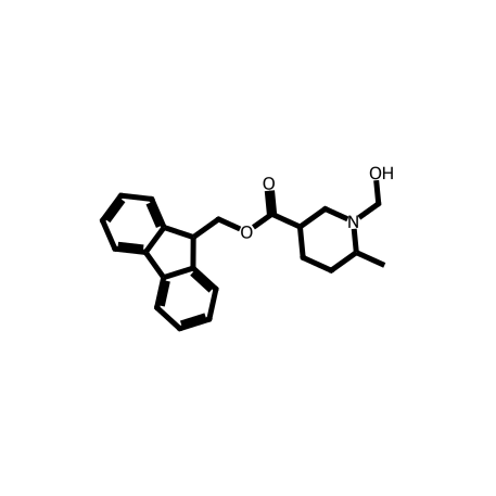 CC1CCC(C(=O)OCC2c3ccccc3-c3ccccc32)CN1CO